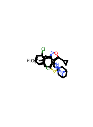 CCOC(=O)c1ccc2nc(N3C4CC3CN(Cc3c(-c5c(Cl)cccc5Cl)noc3C3CC3)C4)sc2c1